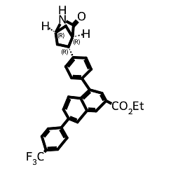 CCOC(=O)c1cc(-c2ccc([C@@H]3C[C@@H]4C[C@H]3C(=O)N4)cc2)c2ccc(-c3ccc(C(F)(F)F)cc3)cc2c1